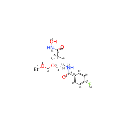 CCOCOC[C@H](C[C@H](C)C(=O)NO)NC(=O)c1ccc(F)cc1